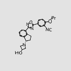 [C-]#[N+]c1cc(-c2nc(-c3cccc4c3CC[C@@H]4N3CC(O)C3)no2)ccc1OC(C)C